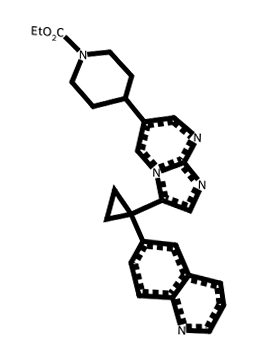 CCOC(=O)N1CCC(c2cnc3ncc(C4(c5ccc6ncccc6c5)CC4)n3c2)CC1